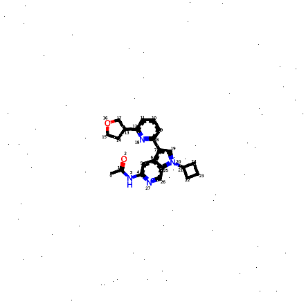 CC(=O)Nc1cc2c(-c3cccc(C4CCOC4)n3)cn(C3CCC3)c2cn1